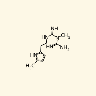 Cc1ccc(CCNC(=N)N(C)C(=N)N)[nH]1